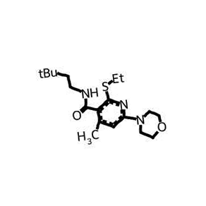 CCSc1nc(N2CCOCC2)cc(C)c1C(=O)NCCC(C)(C)C